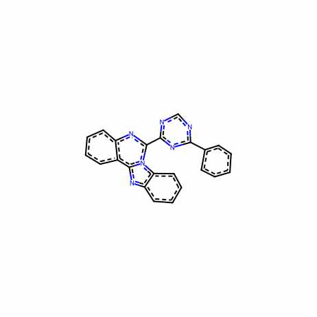 c1ccc(-c2ncnc(-c3nc4ccccc4c4nc5ccccc5n34)n2)cc1